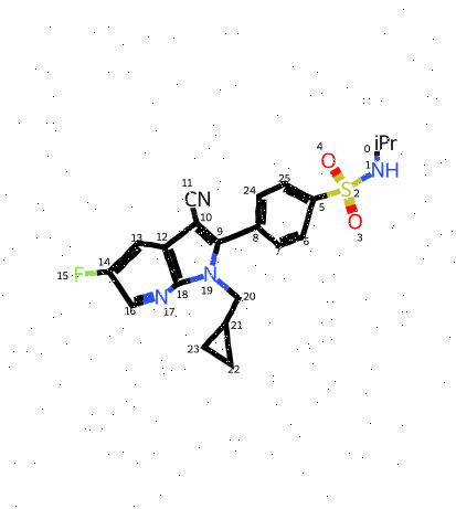 CC(C)NS(=O)(=O)c1ccc(-c2c(C#N)c3cc(F)cnc3n2CC2CC2)cc1